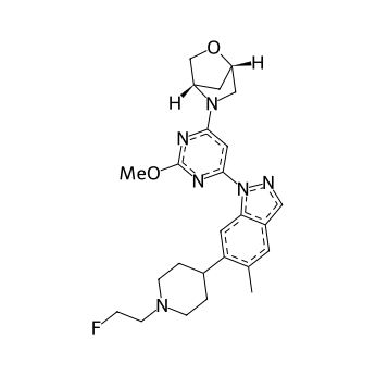 COc1nc(N2C[C@@H]3C[C@H]2CO3)cc(-n2ncc3cc(C)c(C4CCN(CCF)CC4)cc32)n1